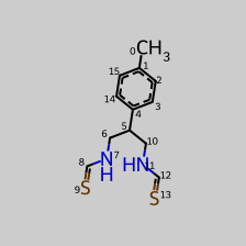 Cc1ccc(C(CNC=S)CNC=S)cc1